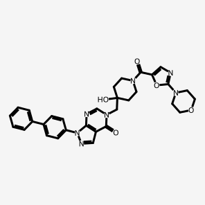 O=C(c1cnc(N2CCOCC2)o1)N1CCC(O)(Cn2cnc3c(cnn3-c3ccc(-c4ccccc4)cc3)c2=O)CC1